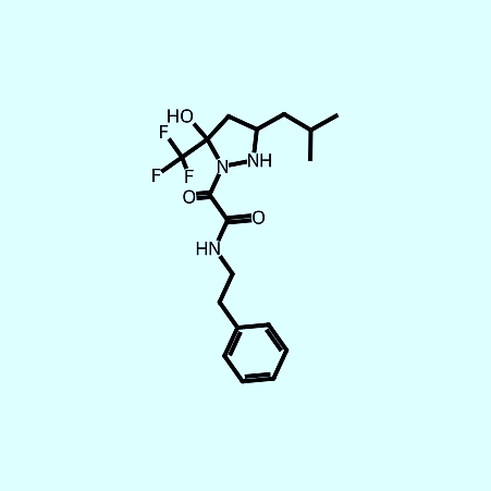 CC(C)CC1CC(O)(C(F)(F)F)N(C(=O)C(=O)NCCc2ccccc2)N1